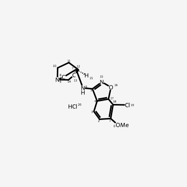 COc1ccc2c(N[C@H]3CN4CCC3CC4)noc2c1Cl.Cl